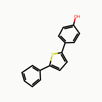 Oc1ccc(-c2ccc(-c3ccccc3)s2)cc1